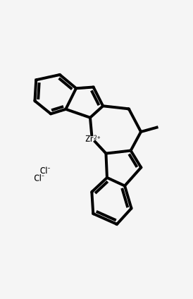 CC1CC2=Cc3ccccc3[CH]2[Zr+2][CH]2C1=Cc1ccccc12.[Cl-].[Cl-]